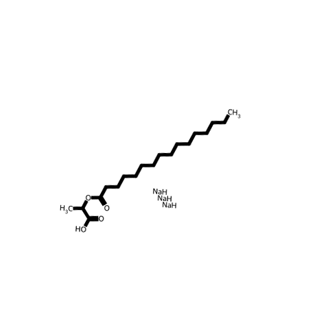 CCCCCCCCCCCCCCCC(=O)OC(C)C(=O)O.[NaH].[NaH].[NaH]